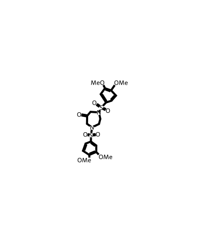 COc1ccc(S(=O)(=O)N2CCN(S(=O)(=O)c3ccc(OC)c(OC)c3)CC(=O)C2)cc1OC